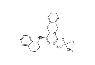 CC(C)(C)OC(=O)N1Cc2ccccc2CC1C(=O)NC1CCCc2ccccc21